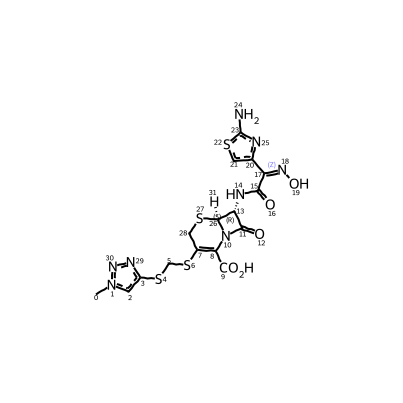 Cn1cc(SCSC2=C(C(=O)O)N3C(=O)[C@@H](NC(=O)/C(=N\O)c4csc(N)n4)[C@@H]3SC2)nn1